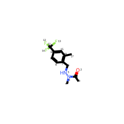 CC(=O)N(C)NCc1ccc(C(F)(F)F)cc1C